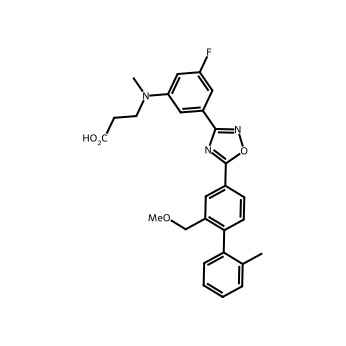 COCc1cc(-c2nc(-c3cc(F)cc(N(C)CCC(=O)O)c3)no2)ccc1-c1ccccc1C